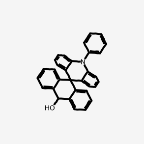 OC1c2ccccc2C2(c3ccccc31)c1ccccc1N(c1ccccc1)c1ccccc12